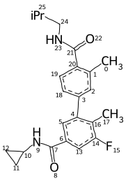 Cc1cc(-c2cc(C(=O)NC3CC3)cc(F)c2C)ccc1C(=O)NCC(C)C